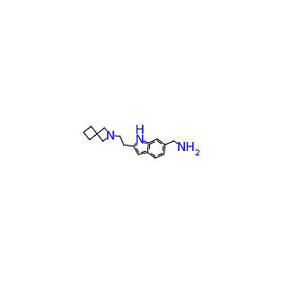 NCc1ccc2cc(CCN3CC4(CCC4)C3)[nH]c2c1